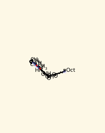 CCCCCCCC/C=C\CCCCCCCC(=O)OCCCO[PH](=O)OCCNC(=O)CCCNC(=O)/C=C(C)/C=C/C=C(C)/C=C/C1=C(C)CCCC1(C)C